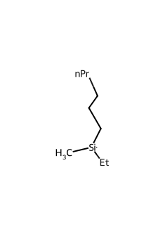 CCCCCC[Si](C)CC